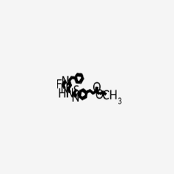 CCOC(=O)CCc1ccc2nc(Nc3cc(Cc4ccccc4)nc(F)n3)sc2c1